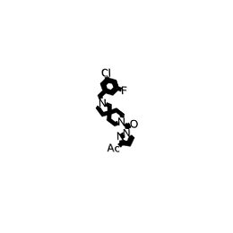 CC(=O)c1ccn(C(=O)N2CCC3(CCN(Cc4cc(F)cc(Cl)c4)C3)CC2)n1